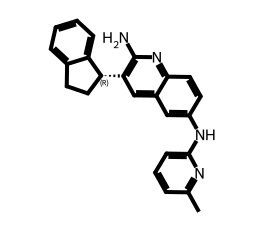 Cc1cccc(Nc2ccc3nc(N)c([C@@H]4CCc5ccccc54)cc3c2)n1